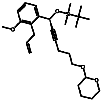 C=CCc1c(OC)cccc1[C@H](C#CCCCOC1CCCCO1)O[Si](C)(C)C(C)(C)C